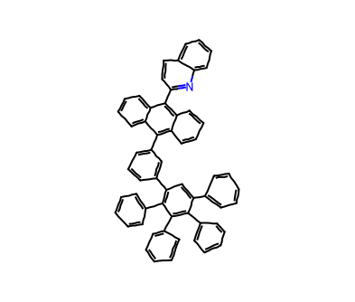 c1ccc(-c2cc(-c3cccc(-c4c5ccccc5c(-c5ccc6ccccc6n5)c5ccccc45)c3)c(-c3ccccc3)c(-c3ccccc3)c2-c2ccccc2)cc1